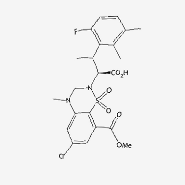 COC(=O)c1cc(Cl)cc2c1S(=O)(=O)N([C@H](C(=O)O)C(C)c1c(F)ccc(C)c1C)CN2C